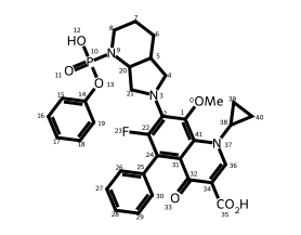 COc1c(N2CC3CCCN(P(=O)(O)Oc4ccccc4)C3C2)c(F)c(-c2ccccc2)c2c(=O)c(C(=O)O)cn(C3CC3)c12